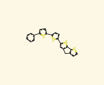 c1ccc(-c2ccc(-c3ccc(-c4cc5c(s4)-c4sccc4C5)s3)s2)cc1